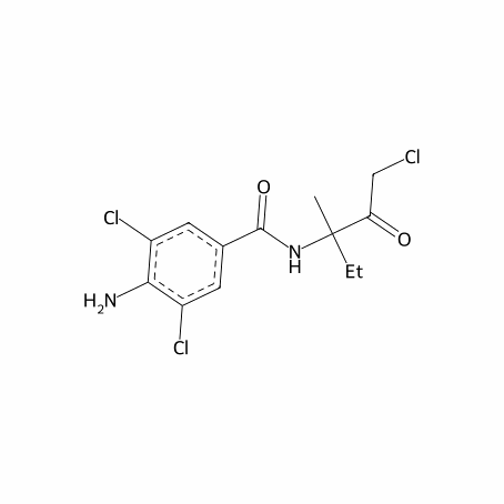 CCC(C)(NC(=O)c1cc(Cl)c(N)c(Cl)c1)C(=O)CCl